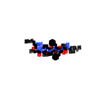 CC[C@H](C)[C@H](NC(=O)[C@@H](NC(=O)[C@H](Cc1ccccc1)NC(=O)[C@H](Cc1ccccc1)NC(=O)[C@@H]1CCCN1C(=O)[C@@H]1CCCN1C(=O)[C@@H](NC(=O)[C@H](CC(C)C)NC(=O)[C@@H](N)CCSC)[C@@H](C)CC)C(C)C)C(=O)O